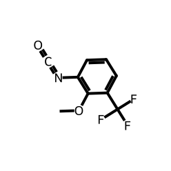 COc1c(N=C=O)cccc1C(F)(F)F